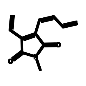 C=C/C=C\C1=C(C=C)C(=O)N(C)C1=O